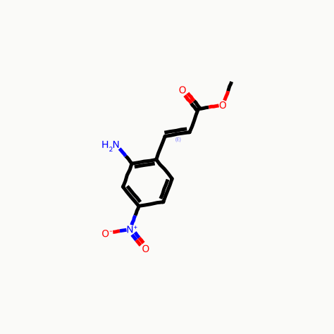 COC(=O)/C=C/c1ccc([N+](=O)[O-])cc1N